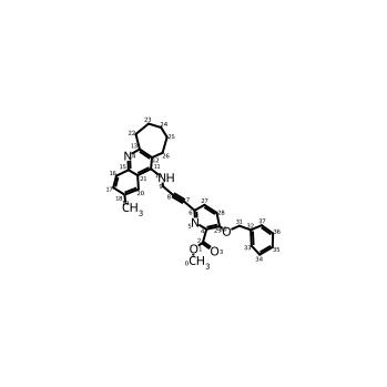 COC(=O)c1nc(C#CCNc2c3c(nc4ccc(C)cc24)CCCCC3)ccc1OCc1ccccc1